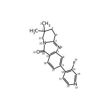 CC1(C)CCc2nc3cc(-c4ccncc4F)ccc3c(=O)n2C1